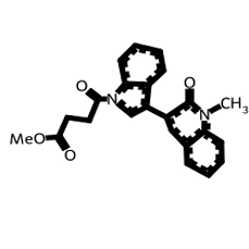 COC(=O)CCC(=O)n1cc(-c2cc3ccccc3n(C)c2=O)c2ccccc21